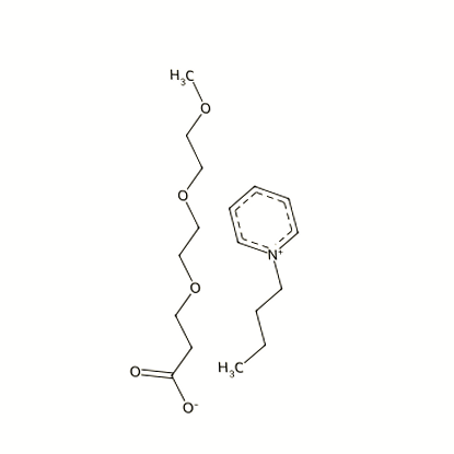 CCCC[n+]1ccccc1.COCCOCCOCCC(=O)[O-]